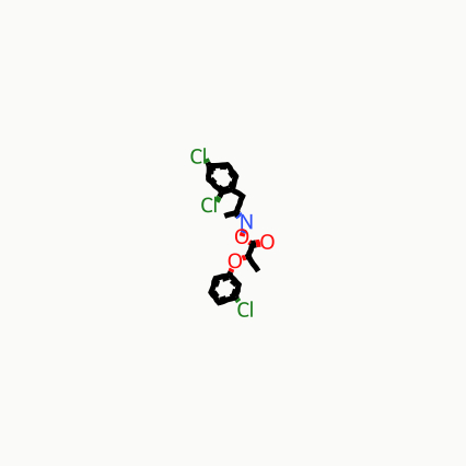 C/C(Cc1ccc(Cl)cc1Cl)=N\OC(=O)C(C)Oc1cccc(Cl)c1